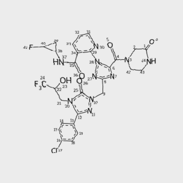 O=C1CN(C(=O)c2nc(Cn3nc(-c4ccc(Cl)cc4)n(CC(O)C(F)(F)F)c3=O)nn2-c2ncccc2C(=O)NC2CC2F)CCN1